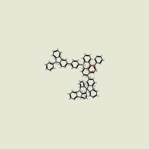 c1ccc(-c2ccccc2-c2ccccc2N(c2ccc(-c3ccc4c(c3)c3ccccc3n4-c3ccccc3)cc2)c2ccc(-c3ccc4c(c3)C3(c5ccccc5-4)c4ccccc4-n4c5ccccc5c5cccc3c54)c3ccccc23)cc1